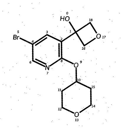 OC1(c2cc(Br)cnc2OC2CCOCC2)COC1